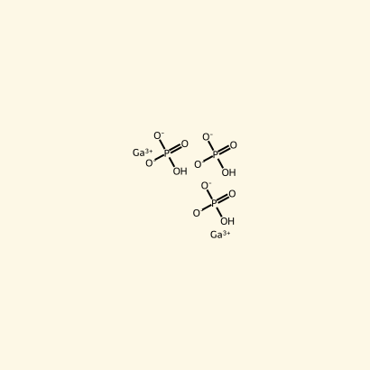 O=P([O-])([O-])O.O=P([O-])([O-])O.O=P([O-])([O-])O.[Ga+3].[Ga+3]